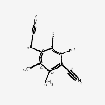 N#CCc1c(F)c(F)c(C#N)c(P)c1F